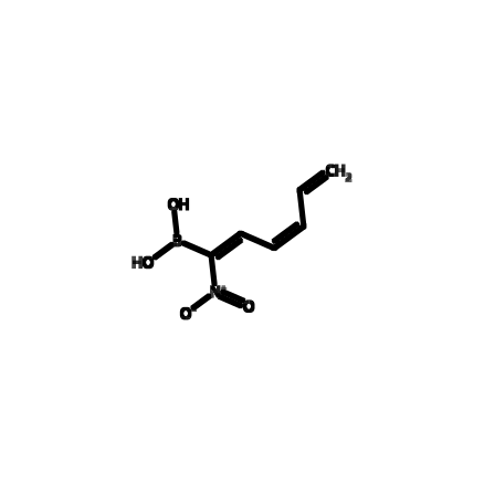 C=C/C=C\C=C(\B(O)O)[N+](=O)[O-]